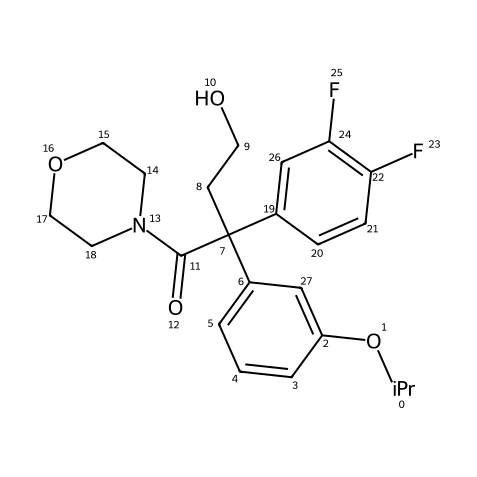 CC(C)Oc1cccc(C(CCO)(C(=O)N2CCOCC2)c2ccc(F)c(F)c2)c1